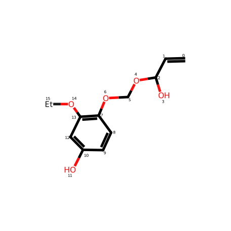 C=CC(O)OCOc1ccc(O)cc1OCC